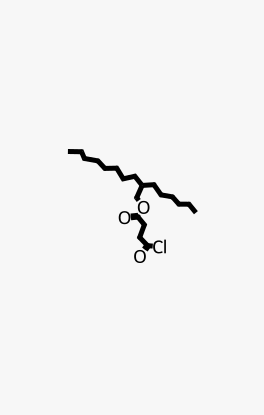 CCCCCCCCC(CCCCCC)COC(=O)CCC(=O)Cl